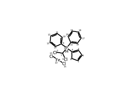 ClC(Cl)[PH](C1=CC=CC1)(c1ccccc1)c1ccccc1.[Cl][Fe][Cl]